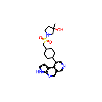 CC1(O)CCN(S(=O)(=O)CC2CCC(c3cncc4cnc5[nH]ccc5c34)CC2)C1